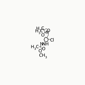 CCOC(=O)C(C)=NNc1ccc(CN2OCC(C)(C)C2=O)c(Cl)c1